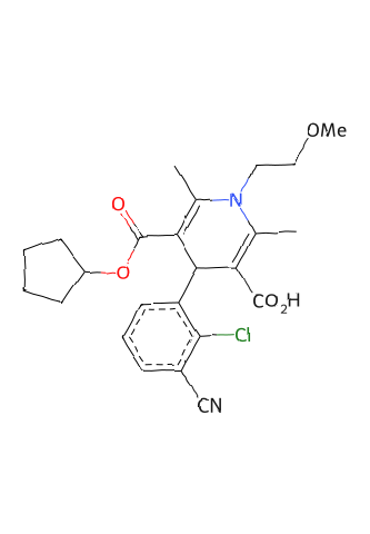 COCCN1C(C)=C(C(=O)O)C(c2cccc(C#N)c2Cl)C(C(=O)OC2CCCC2)=C1C